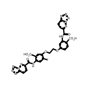 O=C(Nc1cc(OCCOc2cc(C(=O)O)c(NC(=O)c3ccc4nnnn4n3)cc2F)ccc1C(=O)O)c1ccc2nnnn2n1